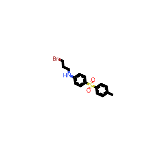 Cc1ccc(S(=O)(=O)c2ccc(NCCCBr)cc2)cc1